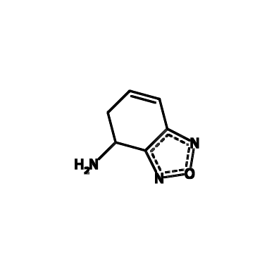 NC1CC=Cc2nonc21